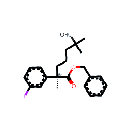 CC(C)(C=O)CCC[C@@](C)(C(=O)OCc1ccccc1)c1cccc(I)c1